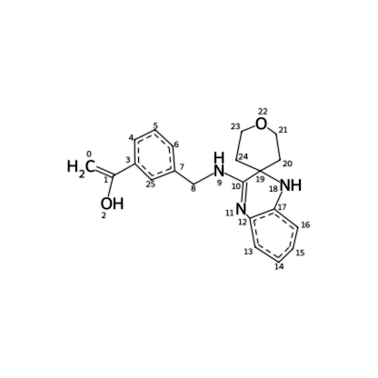 C=C(O)c1cccc(CNC2=Nc3ccccc3NC23CCOCC3)c1